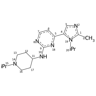 Cc1ncc(-c2ccnc(NC3CCN(C(C)C)CC3)n2)n1C(C)C